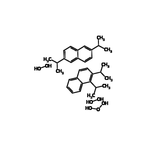 CC(C)c1ccc2cc(C(C)C)ccc2c1.CC(C)c1ccc2ccccc2c1C(C)C.OO.OO.OOO